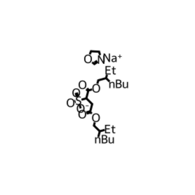 C1=NCCO1.CCCCC(CC)COC(=O)CC(C(=O)OCC(CC)CCCC)S(=O)(=O)[O-].[Na+]